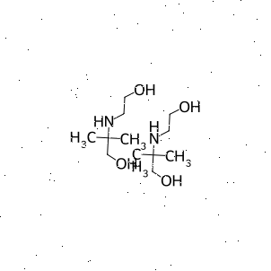 CC(C)(CO)NCCO.CC(C)(CO)NCCO